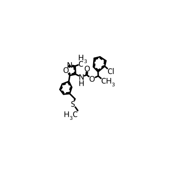 CCSCc1cccc(-c2onc(C)c2NC(=O)OC(C)c2ccccc2Cl)c1